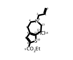 C=CCN1CCc2cc(C(=O)OCC)sc2CC1.Cl